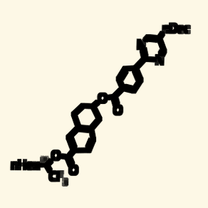 CCCCCCCCCCc1cnc(-c2ccc(C(=O)OC3CCc4cc(C(=O)O[C@H](CCCCCC)C(F)(F)F)ccc4C3)cc2)nc1